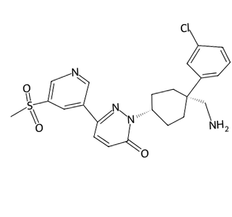 CS(=O)(=O)c1cncc(-c2ccc(=O)n([C@H]3CC[C@](CN)(c4cccc(Cl)c4)CC3)n2)c1